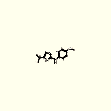 COc1ccc(Nc2nc(C(C)C)cs2)cc1